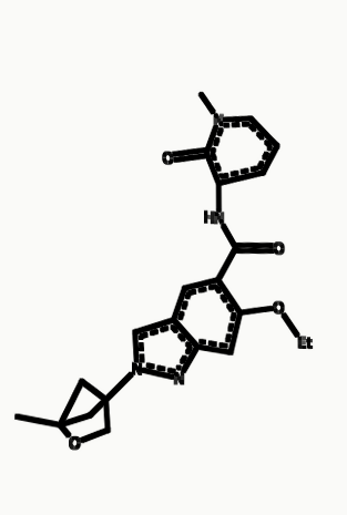 CCOc1cc2nn(C34COC(C)(C3)C4)cc2cc1C(=O)Nc1cccn(C)c1=O